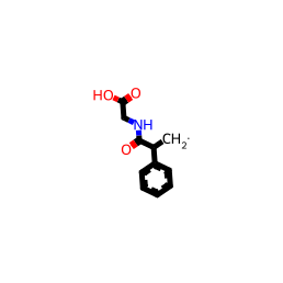 [CH2]C(C(=O)NCC(=O)O)c1ccccc1